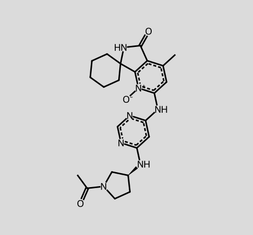 CC(=O)N1CC[C@H](Nc2cc(Nc3cc(C)c4c([n+]3[O-])C3(CCCCC3)NC4=O)ncn2)C1